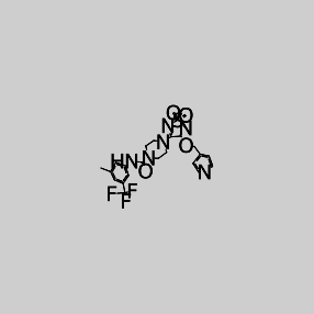 Cc1cc(NC(=O)N2CCN(C3=NS(=O)(=O)N=C3OCc3ccncc3)CC2)cc(C(F)(F)F)c1